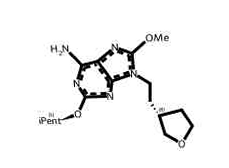 CCC[C@H](C)Oc1nc(N)c2nc(OC)n(CC[C@@H]3CCOC3)c2n1